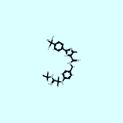 Cc1nc(-c2ccc(C(F)(F)F)cc2)sc1C(=O)OCc1ccc(OC(C)(C)C(=O)OC(C)(C)C)cc1